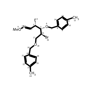 CON=C[C@H](F)[C@H](OCc1ccc(C)cc1)[C@@H](Br)COCc1ccc(C)cc1